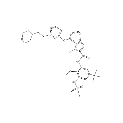 COc1c(NC(=O)c2cc3cccc(Oc4ccnc(CCN5CCOCC5)n4)c3n2C)cc(C(C)(C)C)cc1NS(C)(=O)=O